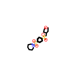 O=S(=O)(CC1CCOCC1)c1ccc(S(=O)(=O)N2CCCCCC2)cc1